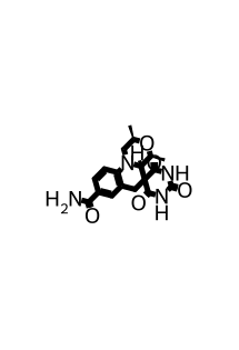 C[C@@H]1CN2c3ccc(C(N)=O)cc3CC3(C(=O)NC(=O)NC3=O)[C@H]2[C@H](C)O1